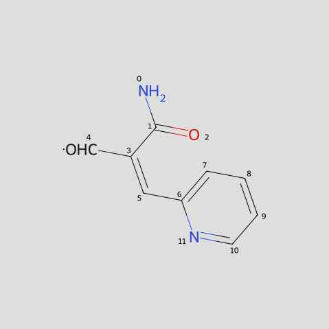 NC(=O)C([C]=O)=Cc1ccccn1